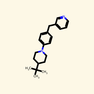 CC(C)(C)C1CCN(c2ccc(Cc3cccnc3)cc2)CC1